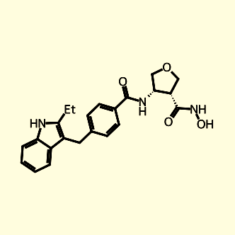 CCc1[nH]c2ccccc2c1Cc1ccc(C(=O)N[C@@H]2COC[C@@H]2C(=O)NO)cc1